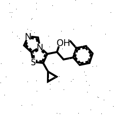 Cc1ccccc1CC(O)c1c(C2CC2)sc2cncn12